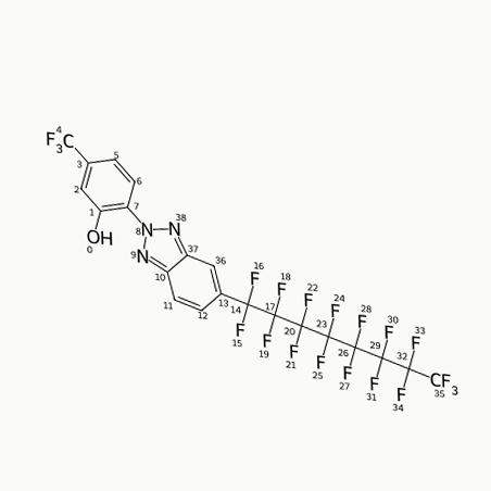 Oc1cc(C(F)(F)F)ccc1-n1nc2ccc(C(F)(F)C(F)(F)C(F)(F)C(F)(F)C(F)(F)C(F)(F)C(F)(F)C(F)(F)F)cc2n1